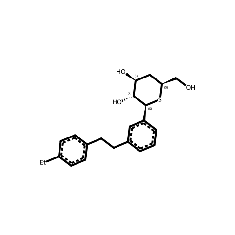 CCc1ccc(CCc2cccc([C@@H]3S[C@H](CO)C[C@H](O)[C@H]3O)c2)cc1